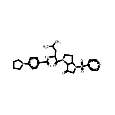 CC(C)CC(NC(=O)c1ccc(N2CCCC2)cc1)C(=O)N1CCC2C1C(=O)CN2S(=O)(=O)c1ccncc1